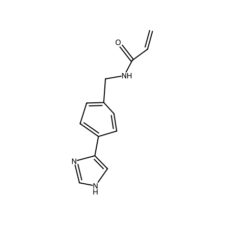 C=CC(=O)NCc1ccc(-c2c[nH]cn2)cc1